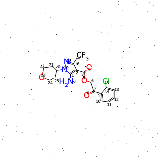 Nc1c(C(=O)OCC(=O)c2ccccc2Cl)c(C(F)(F)F)nn1C1CCOCC1